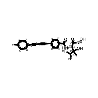 Cc1ccc(C#CC#Cc2ccc(C(=O)N[C@H](C(=O)NO)C(C)(O)C(F)F)cc2)cc1